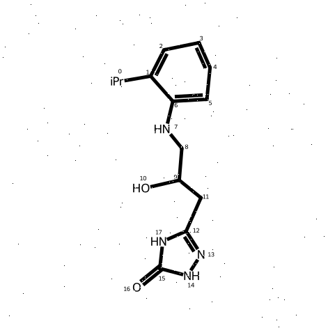 CC(C)c1ccccc1NCC(O)Cc1n[nH]c(=O)[nH]1